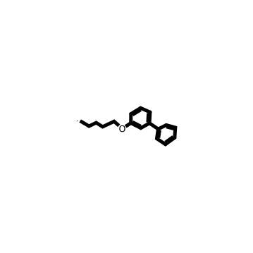 [CH2]CCCCOc1cccc(-c2ccccc2)c1